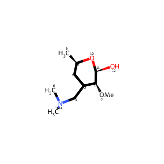 CO[C@H]1C(CN(C)C)C[C@@H](C)O[C@H]1O